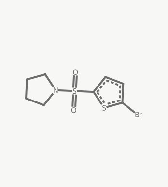 O=S(=O)(c1ccc(Br)s1)N1CCCC1